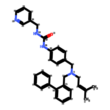 CC(C)=CCN(Cc1ccc(NC(=O)NCc2cccnc2)cc1)Cc1ccccc1-c1ccccc1